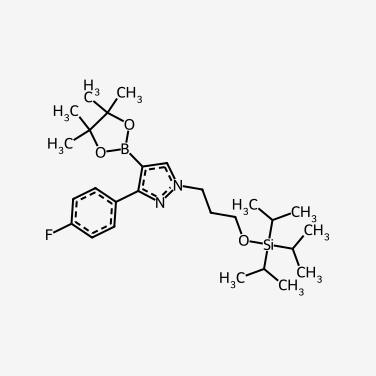 CC(C)[Si](OCCCn1cc(B2OC(C)(C)C(C)(C)O2)c(-c2ccc(F)cc2)n1)(C(C)C)C(C)C